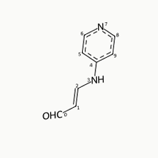 O=CC=CNc1ccncc1